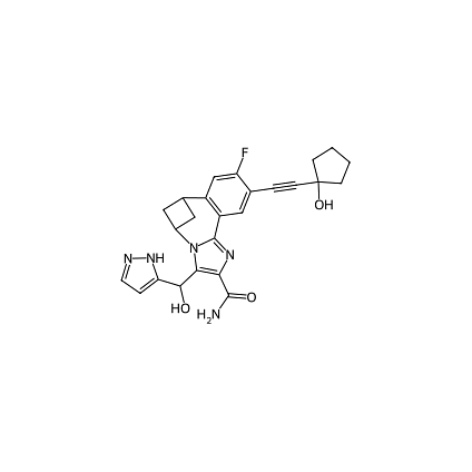 NC(=O)c1nc2n(c1C(O)c1ccn[nH]1)C1CC(C1)c1cc(F)c(C#CC3(O)CCCC3)cc1-2